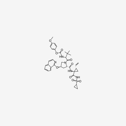 C=C[C@@H]1C[C@]1(NC(=O)[C@@H]1C[C@@H](Oc2nccc3ccccc23)CN1C(=O)C(NC(=O)Oc1ccc(OC)cc1)C(C)(C)C)C(=O)NS(=O)(=O)C1CC1